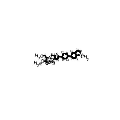 CCC(C(=O)OC)N1Cc2sc(-c3ccc(-c4ccc5c(ccn5C)c4)cc3)cc2S1(=O)=O